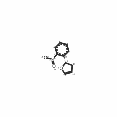 O=[N+]([O-])c1ccccc1[C@@H]1CC=CO1